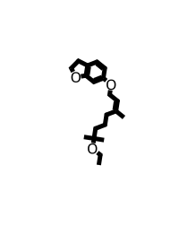 CCOC(C)(C)CCCC(C)=CCOc1ccc2c(c1)OCC2